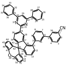 N#Cc1cccc(-c2cccc(-c3cccc4c3-c3cc(-c5nc(-c6ccccc6)cc(-c6ccccc6)n5)ccc3C43c4ccccc4Oc4ccccc43)c2)c1